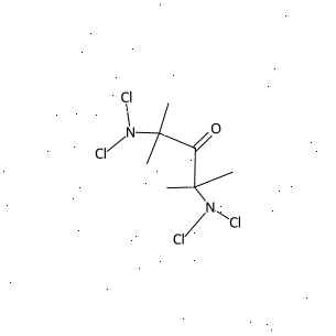 CC(C)(C(=O)C(C)(C)N(Cl)Cl)N(Cl)Cl